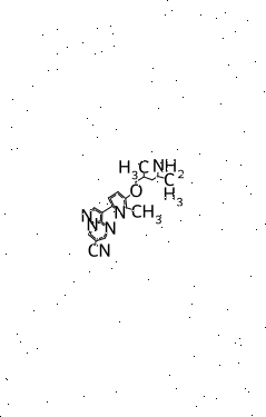 Cc1nc(-c2cnn3cc(C#N)cnc23)ccc1OCC(C)CC(C)N